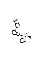 CC(O)(c1ccnc(-c2cccc3cc(C(NS(=O)(=O)C4CC4)c4nc(N)ccc4Cl)sc23)c1)C(F)(F)F